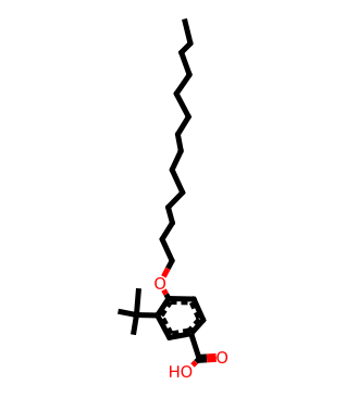 CCCCCCCCCCCCCCOc1ccc(C(=O)O)cc1C(C)(C)C